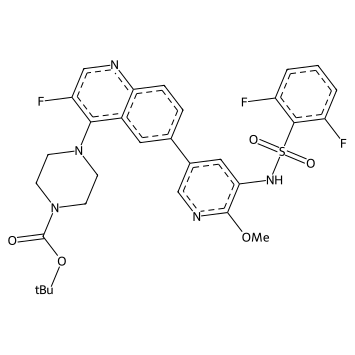 COc1ncc(-c2ccc3ncc(F)c(N4CCN(C(=O)OC(C)(C)C)CC4)c3c2)cc1NS(=O)(=O)c1c(F)cccc1F